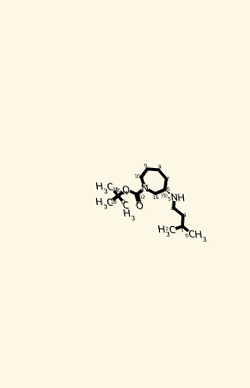 CC(C)CCN[C@H]1CCCCN(C(=O)OC(C)(C)C)C1